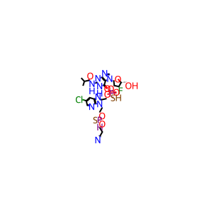 CC(C)C(=O)Nc1nc2ncn([C@@H]3O[C@H](CO)[C@@H](F)[C@H]3OP(=O)(S)OCc3nc4cc(Cl)cnc4n3CCO[PH](=S)OCCC#N)c2c(=O)[nH]1